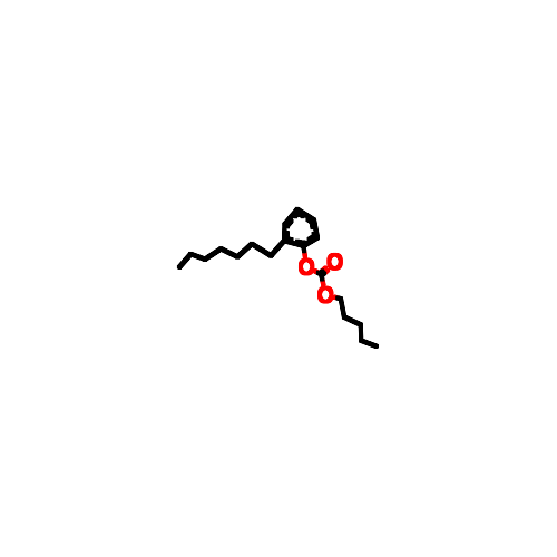 CCCCCCCc1ccccc1OC(=O)OCCCCC